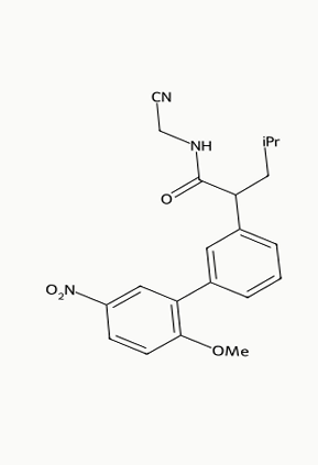 COc1ccc([N+](=O)[O-])cc1-c1cccc(C(CC(C)C)C(=O)NCC#N)c1